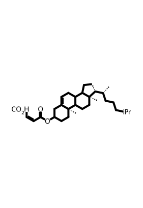 CC(C)CCC[C@@H](C)[C@H]1CCC2C3CC=C4CC(OC(=O)/C=C\C(=O)O)CC[C@]4(C)C3CC[C@@]21C